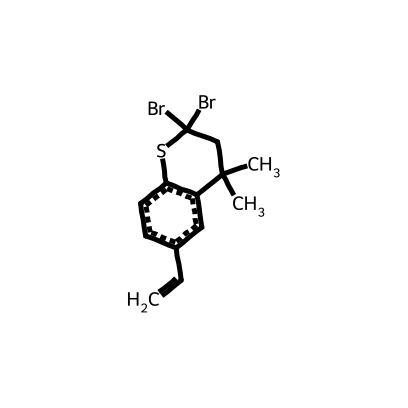 C=Cc1ccc2c(c1)C(C)(C)CC(Br)(Br)S2